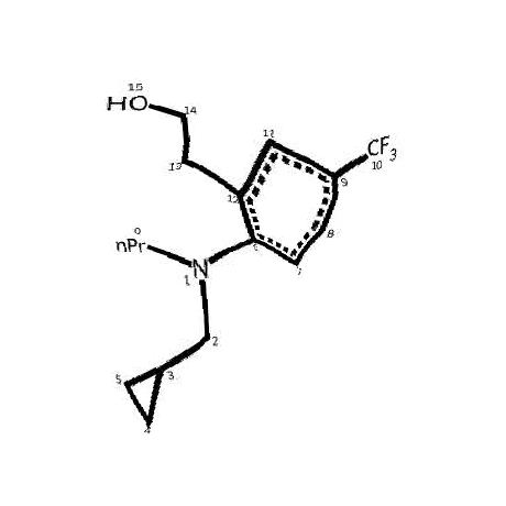 CCCN(CC1CC1)c1ccc(C(F)(F)F)cc1CCO